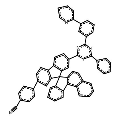 N#Cc1ccc(-c2ccc3c(c2)C2(c4cc(-c5nc(-c6ccccc6)nc(-c6cccc(-c7ccccn7)c6)n5)ccc4-3)c3ccccc3-c3c2ccc2ccccc32)cc1